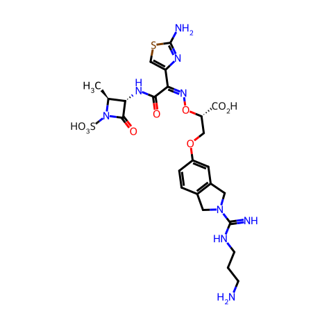 C[C@H]1[C@H](NC(=O)/C(=N\O[C@@H](COc2ccc3c(c2)CN(C(=N)NCCCN)C3)C(=O)O)c2csc(N)n2)C(=O)N1S(=O)(=O)O